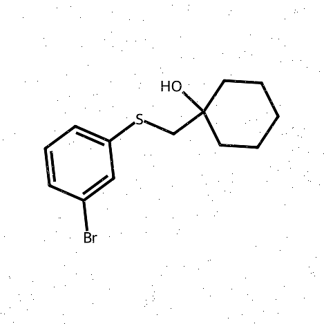 OC1(CSc2cccc(Br)c2)CCCCC1